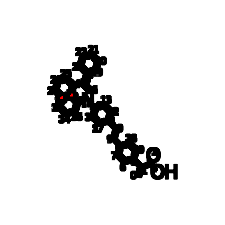 C=C(C(=O)O)c1ccc(C=Cc2ccc(N(C=C(c3ccccc3)c3ccccc3)c3ccccc3)cc2)cc1